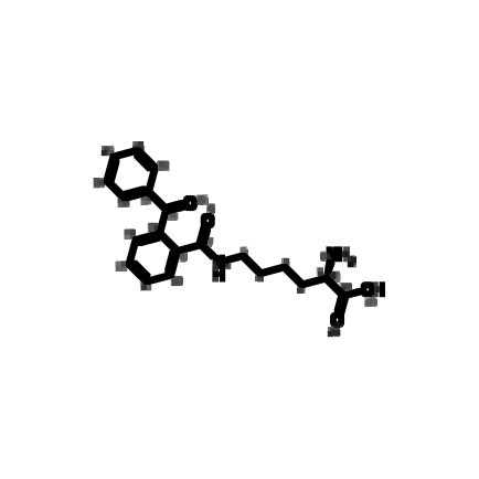 N[C@H](CCCCNC(=O)c1ccccc1C(=O)c1ccccc1)C(=O)O